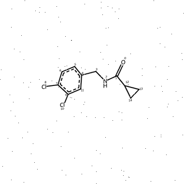 O=C(NCc1ccc(Cl)c(Cl)c1)C1CC1